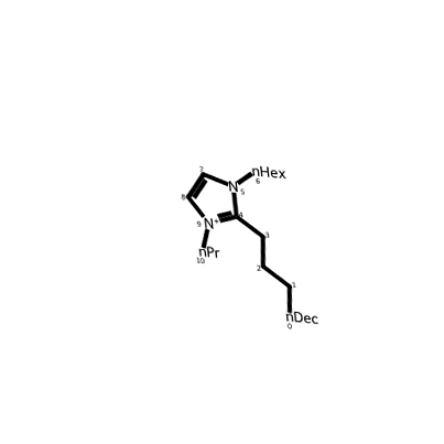 CCCCCCCCCCCCCc1n(CCCCCC)cc[n+]1CCC